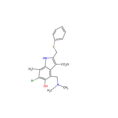 CCOC(=O)c1c(CSc2ccccc2)[nH]c2c(C)c(Br)c(O)c(CN(C)C)c12